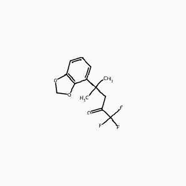 CC(C)(CC(=O)C(F)(F)F)c1cccc2c1OCO2